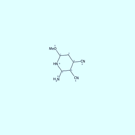 COC1CC(C#N)C(C#N)C(N)N1